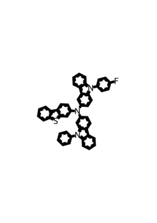 Fc1ccc(-n2c3ccccc3c3cc(N(c4ccc5c(c4)sc4ccccc45)c4ccc5c6ccccc6n(-c6ccccc6)c5c4)ccc32)cc1